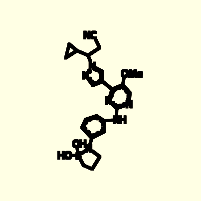 COc1cnc(Nc2cccc(N3CCCS3(O)O)c2)nc1-c1cnn(C(CC#N)C2CC2)c1